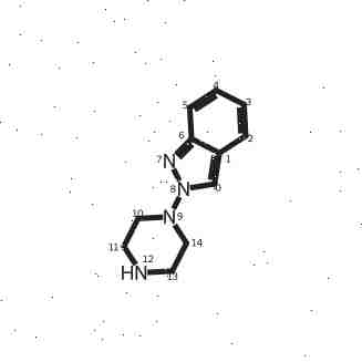 [c]1c2ccccc2nn1N1CCNCC1